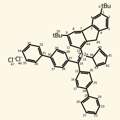 CC(C)(C)c1ccc2c(c1)-c1cc(C(C)(C)C)c[c]([Zr+2](=[C](c3ccc(-c4ccccc4)cc3)c3ccc(-c4ccccc4)cc3)[CH]3C=CC=C3)c1C2.[Cl-].[Cl-]